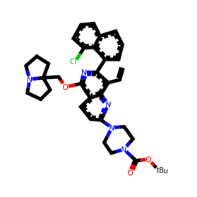 C=Cc1c(-c2cccc3cccc(Cl)c23)nc(OCC23CCCN2CCC3)c2ccc(N3CCN(C(=O)OC(C)(C)C)CC3)nc12